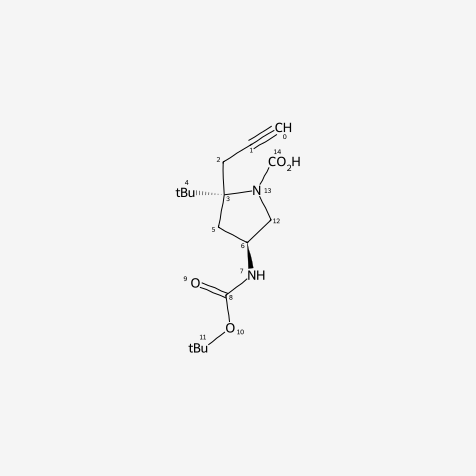 C#CC[C@]1(C(C)(C)C)C[C@H](NC(=O)OC(C)(C)C)CN1C(=O)O